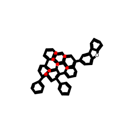 c1ccc(-c2ccc(-c3ccccc3N(c3ccc(-c4ccc5oc6ccccc6c5c4)cc3)c3cccc(-c4ccccc4)c3-c3ccccc3-c3ccccc3)cc2)cc1